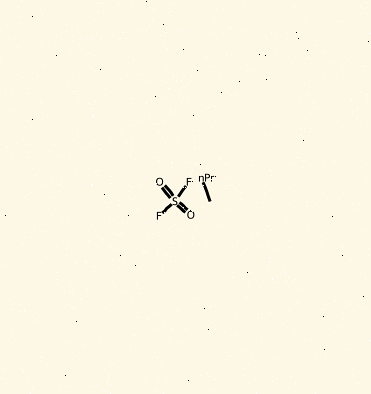 CCCC.O=S(=O)(F)F